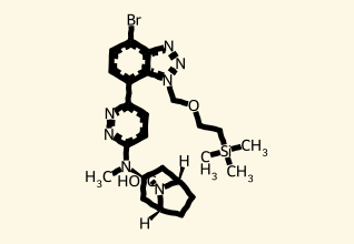 CN(c1ccc(-c2ccc(Br)c3nnn(COCC[Si](C)(C)C)c23)nn1)[C@@H]1C[C@H]2CC[C@@H](C1)N2C(=O)O